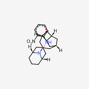 O=[N+]([O-])c1ccccc1N[C@H]1C[C@H]2CCC[C@@H](C1)N2[C@@H]1C[C@@H]2CC3[C@@H](C2)C[C@H]3C1